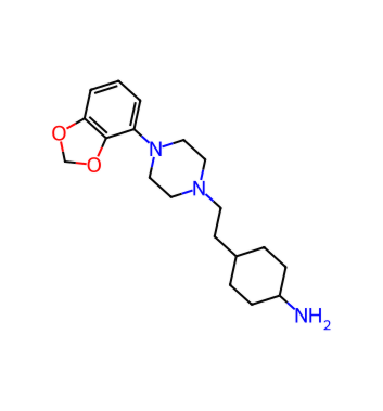 NC1CCC(CCN2CCN(c3cccc4c3OCO4)CC2)CC1